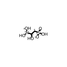 O=S(=O)(O)CC(O)N(O)O